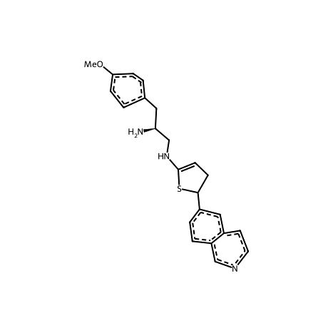 COc1ccc(C[C@H](N)CNC2=CCC(c3ccc4cnccc4c3)S2)cc1